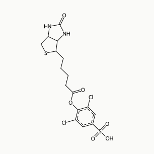 O=C1NC2CSC(CCCCC(=O)Oc3c(Cl)cc(S(=O)(=O)O)cc3Cl)C2N1